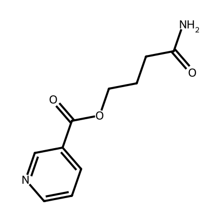 NC(=O)CCCOC(=O)c1cccnc1